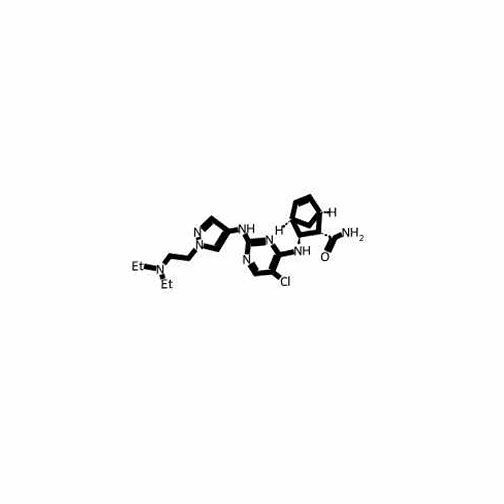 CCN(CC)CCn1cc(Nc2ncc(Cl)c(N[C@H]3[C@@H](C(N)=O)[C@@H]4C=C[C@H]3C4)n2)cn1